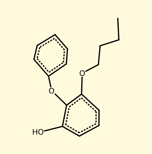 CCCCOc1cccc(O)c1Oc1ccccc1